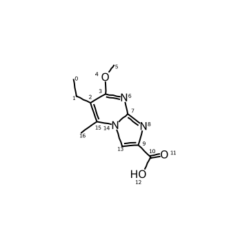 CCc1c(OC)nc2nc(C(=O)O)cn2c1C